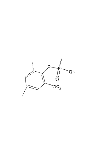 Cc1cc(C)c(OP(C)(=O)O)c([N+](=O)[O-])c1